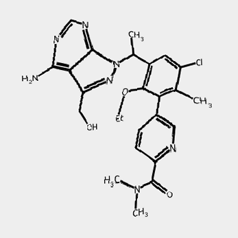 CCOc1c(C(C)n2nc(CO)c3c(N)ncnc32)cc(Cl)c(C)c1-c1ccc(C(=O)N(C)C)nc1